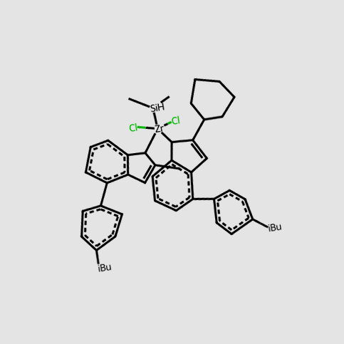 CCC(C)c1ccc(-c2cccc3c2C=C(C)[CH]3[Zr]([Cl])([Cl])([CH]2C(C3CCCCC3)=Cc3c(-c4ccc(C(C)CC)cc4)cccc32)[SiH](C)C)cc1